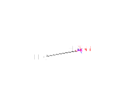 CCCCCCCCCCCCCCCCCCCCCC(=O)NC(C)(C)O